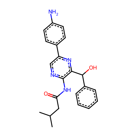 CC(C)CC(=O)Nc1ncc(-c2ccc(N)cc2)nc1C(O)c1ccccc1